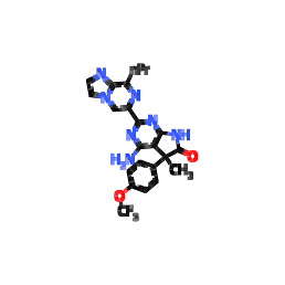 CCCc1nc(-c2nc(N)c3c(n2)NC(=O)C3(C)c2ccc(OC(F)(F)F)cc2)cn2ccnc12